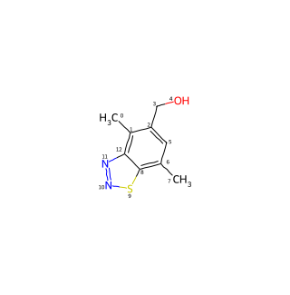 Cc1c(CO)cc(C)c2snnc12